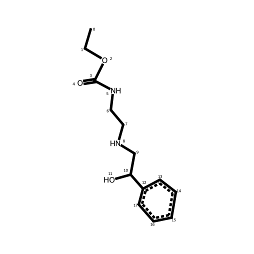 CCOC(=O)NCCNCC(O)c1ccccc1